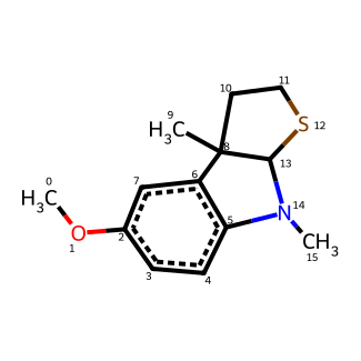 COc1ccc2c(c1)C1(C)CCSC1N2C